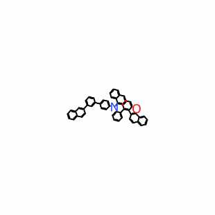 c1cc(-c2ccc(N(c3ccccc3-c3cccc4oc5c6ccccc6ccc5c34)c3cccc4ccccc34)cc2)cc(-c2ccc3ccccc3c2)c1